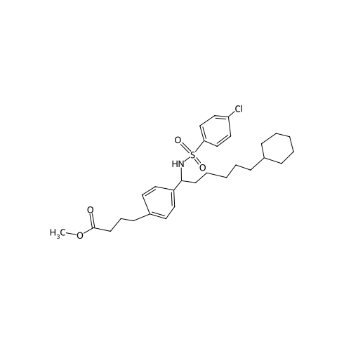 COC(=O)CCCc1ccc(C(CCCCCC2CCCCC2)NS(=O)(=O)c2ccc(Cl)cc2)cc1